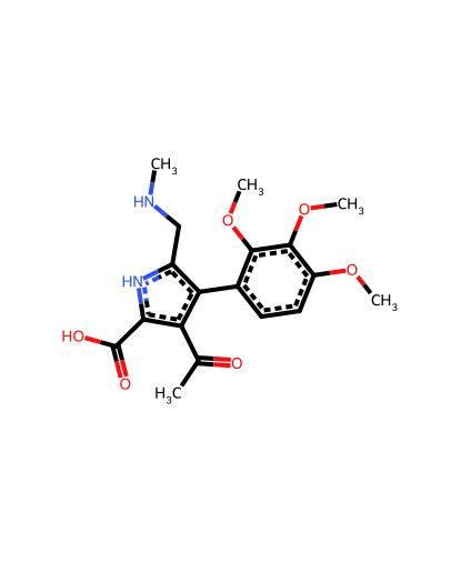 CNCc1[nH]c(C(=O)O)c(C(C)=O)c1-c1ccc(OC)c(OC)c1OC